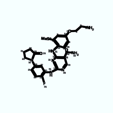 CSc1cc(OCCN)ccc1Nc1nc(Nc2cc(N3CCCC3=O)ccc2F)ncc1C(N)=O